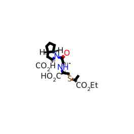 CCOC(=O)C(C)SC[C@H](N[C@@H](C)C(=O)N1[C@H](C(=O)O)C[C@@H]2CCC[C@@H]21)C(=O)O